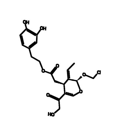 C/C=C1\[C@H](OCCl)OC=C(C(=O)CO)[C@H]1CC(=O)OCCc1ccc(O)c(O)c1